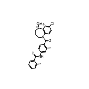 CO[C@@H]1CCCN(C(=O)c2ccc(NC(=O)c3ccccc3C)cc2C)c2ccc(Cl)cc21